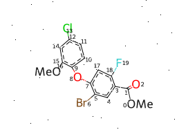 COC(=O)c1cc(Br)c(Oc2ccc(Cl)cc2OC)cc1F